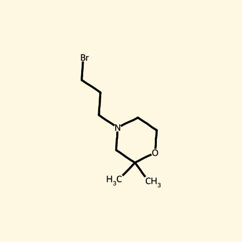 CC1(C)CN(CCCBr)CCO1